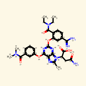 CCN(CC)C(=O)c1ccc(C(=N)N)cc1Oc1nc(Oc2cccc(C(=O)N(C)C)c2)c2nc(C)n(C(CC(N)=O)C(=O)O)c2n1